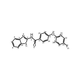 O=C(Nc1nc2ccccc2s1)c1ccc(Oc2ncc(F)cn2)cc1